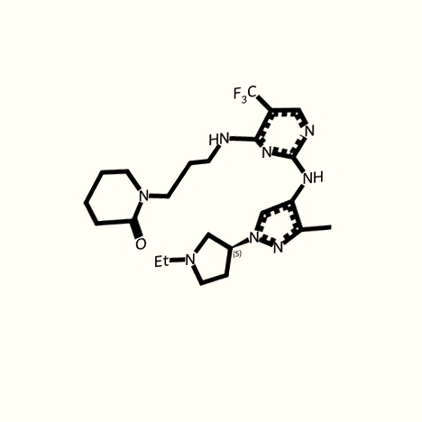 CCN1CC[C@H](n2cc(Nc3ncc(C(F)(F)F)c(NCCCN4CCCCC4=O)n3)c(C)n2)C1